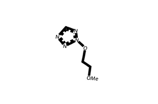 COCCOn1ncnn1